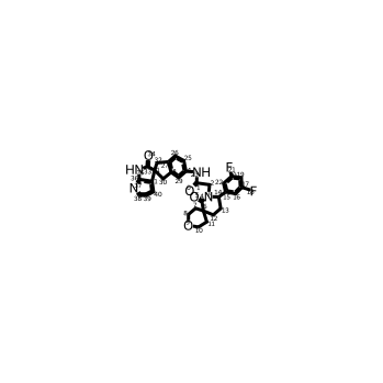 O=C(CN1C(=O)C2(CCOCC2)CCC1c1cc(F)cc(F)c1)Nc1ccc2c(c1)CC1(C2)C(=O)Nc2ncccc21